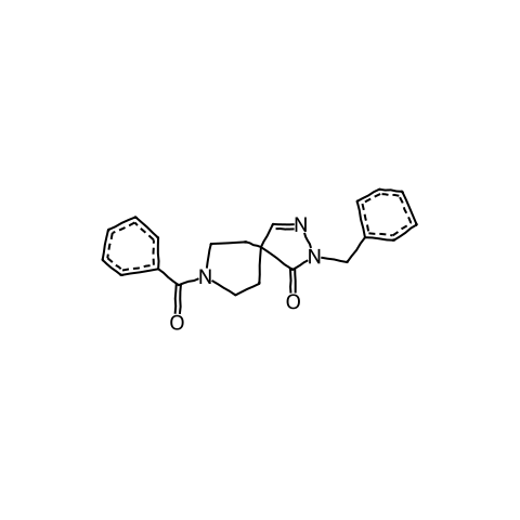 O=C(c1ccccc1)N1CCC2(C=NN(Cc3ccccc3)C2=O)CC1